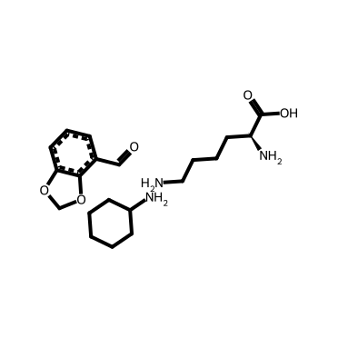 NC1CCCCC1.NCCCC[C@H](N)C(=O)O.O=Cc1cccc2c1OCO2